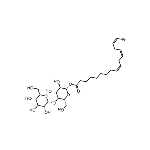 CC/C=C\C/C=C\C/C=C\CCCCCCCC(=O)O[C@@H]1O[C@H](CO)[C@@H](O[C@H]2O[C@H](CO)[C@@H](O)[C@H](O)[C@H]2O)[C@H](O)[C@H]1O